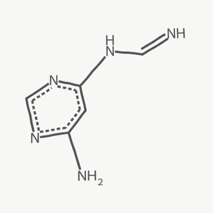 N=CNc1cc(N)ncn1